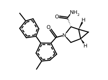 Cc1ccc(-c2cc(C)ccc2C(=O)N2C[C@H]3C[C@H]3[C@H]2C(N)=O)cc1